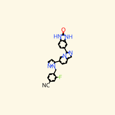 N#Cc1ccc(Cn2nccc2-c2ccc3cnc(-c4ccc5[nH]c(=O)[nH]c5c4)n3c2)c(F)c1